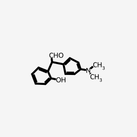 CN(C)c1ccc(C(C=O)c2ccccc2O)cc1